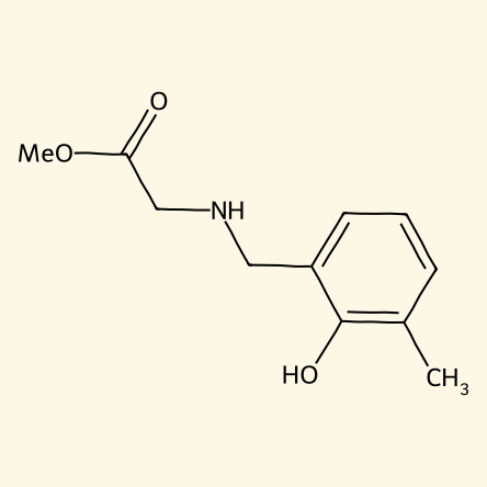 COC(=O)CNCc1cccc(C)c1O